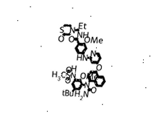 CCC(NC(=O)c1ccc(Nc2cc(Oc3ccc(N(C(N)=O)c4cc(C(C)(C)C)cc(NS(C)(=O)=O)c4OC)c4ccccc34)ccn2)cc1OC)N1CCSC(=O)C1